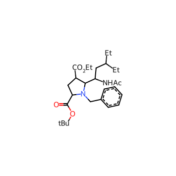 CCOC(=O)C1CC(C(=O)OC(C)(C)C)N(Cc2ccccc2)C1C(CC(CC)CC)NC(C)=O